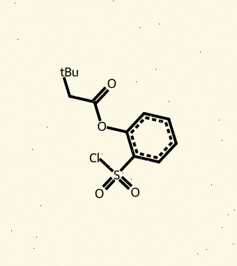 CC(C)(C)CC(=O)Oc1ccccc1S(=O)(=O)Cl